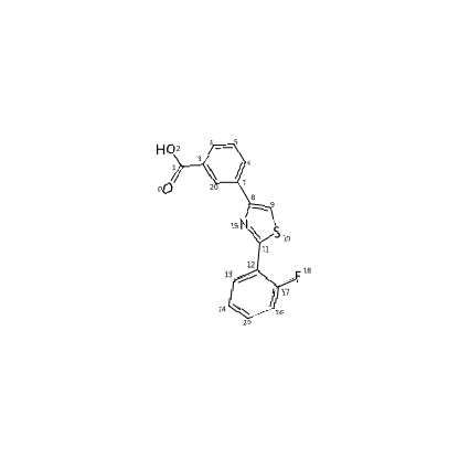 O=C(O)c1cccc(-c2csc(-c3ccccc3F)n2)c1